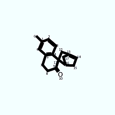 Cc1ccc2c(c1)CCC(=O)C21CC2=CCC1C2